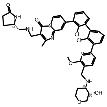 COc1nc(-c2cccc(-c3cccc(-c4ccn5c(=O)c(CNC[C@@H]6CCC(=O)N6)c(C)nc5c4)c3Cl)c2Cl)ccc1CN[C@@H]1CCOC[C@H]1O